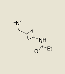 CCC(=O)NC1CC(CN(C)C)C1